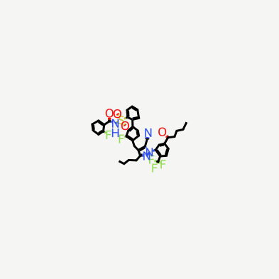 CCCCC(=O)c1ccc(C(F)(F)F)c(-n2nc(CCCC)c(Cc3ccc(-c4ccccc4S(=O)(=O)NC(=O)c4ccccc4F)cc3F)c2C#N)c1